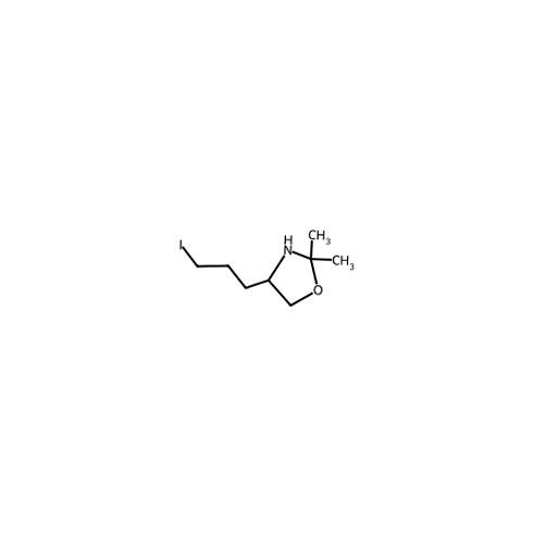 CC1(C)NC(CCCI)CO1